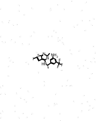 Cc1nc(N[C@H](C)c2cc(N)cc(C(F)(F)F)c2)c2cc(I)sc2n1